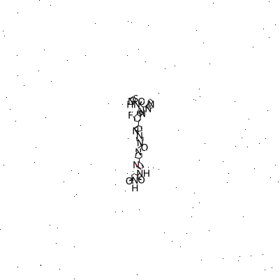 O=C1CCC(Nc2ccc(C3CCN(CC(=O)N4CCN(c5ccc(-c6cc(F)c7cn(C(C(=O)Nc8nccs8)c8ncn9c8CCC9)nc7c6)cn5)CC4)CC3)nc2)C(=O)N1